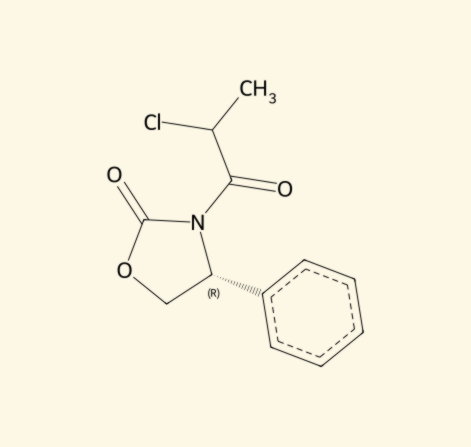 CC(Cl)C(=O)N1C(=O)OC[C@H]1c1ccccc1